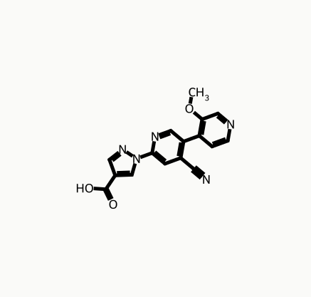 COc1cnccc1-c1cnc(-n2cc(C(=O)O)cn2)cc1C#N